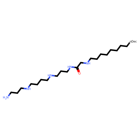 CCCCCCCCCCCCCCCCCCNCC(=O)NCCCNCCCCNCCCN